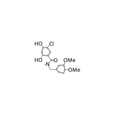 COc1ccc(CN(C)C(=O)c2cc(Cl)c(O)cc2O)cc1OC